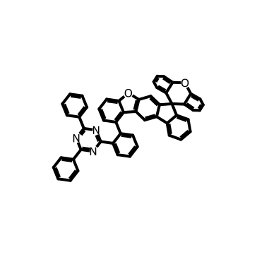 c1ccc(-c2nc(-c3ccccc3)nc(-c3ccccc3-c3cccc4oc5cc6c(cc5c34)-c3ccccc3C63c4ccccc4Oc4ccccc43)n2)cc1